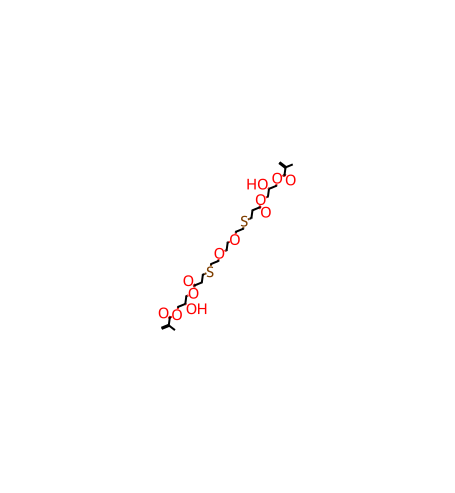 C=C(C)C(=O)OCC(O)COC(=O)CCSCCOCCOCCSCCC(=O)OCC(O)COC(=O)C(=C)C